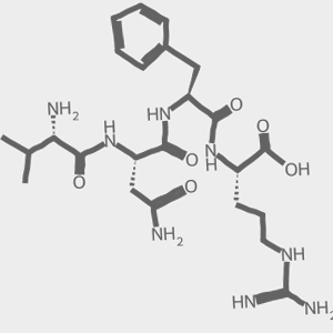 CC(C)[C@H](N)C(=O)N[C@@H](CC(N)=O)C(=O)N[C@@H](Cc1ccccc1)C(=O)N[C@@H](CCCNC(=N)N)C(=O)O